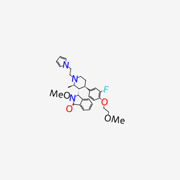 COCCOc1ccc([C@@H]2CCN(CCn3cccc3)[C@H](C)[C@H]2C2c3ccccc3C(=O)N2OC)cc1F